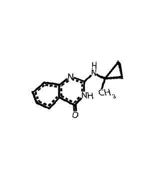 CC1(Nc2nc3ccccc3c(=O)[nH]2)CC1